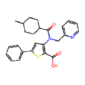 CC1CCC(C(=O)N(Cc2ccccn2)c2cc(-c3ccccc3)sc2C(=O)O)CC1